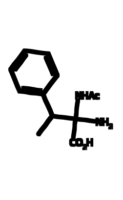 CC(=O)NC(N)(C(=O)O)C(C)c1ccccc1